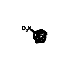 O=[N+]([O-])[C]12[CH]3[CH]4[CH]5[CH]1[Fe]45321678[CH]2[CH]1[CH]6[CH]7[CH]28